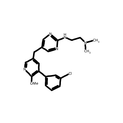 COc1ncc(Cc2cnc(NCCN(C)C)nc2)cc1-c1cccc(Cl)c1